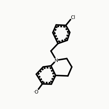 [O]c1ccc2c(c1)CCCN2Cc1ccc(Cl)cc1